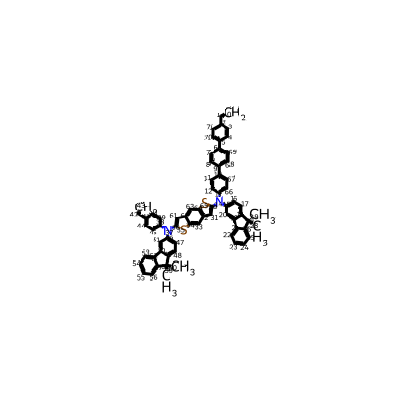 C=Cc1ccc(-c2ccc(-c3ccc(N(c4ccc5c(c4)-c4ccccc4C5(C)C)c4cc5cc6sc(N(c7ccc(C=C)cc7)c7ccc8c(c7)-c7ccccc7C8(C)C)cc6cc5s4)cc3)cc2)cc1